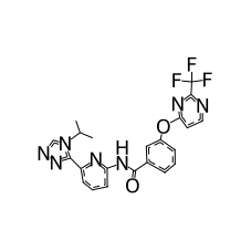 CC(C)n1cnnc1-c1cccc(NC(=O)c2cccc(Oc3ccnc(C(F)(F)F)n3)c2)n1